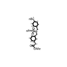 CCCCc1ccc(CN(Cc2cccc(CC(=O)OC)c2)S(=O)(=O)CCC)cc1